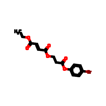 CCOC(=O)C=CC(=O)OCCC(=O)Oc1ccc(Br)cc1